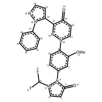 COc1cc(-n2c(=O)ccn2C(F)F)ccc1-n1ccc(=O)c(-c2ccnn2-c2ccccc2)n1